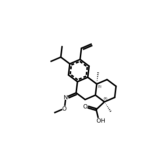 C=Cc1cc2c(cc1C(C)C)C(=NOC)CC1[C@](C)(C(=O)O)CCC[C@]21C